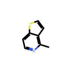 Cc1nccc2s[c]cc12